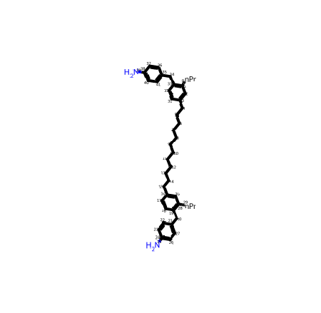 CCCc1cc(CCCCCCCCCCCCc2ccc(Cc3ccc(N)cc3)c(CCC)c2)ccc1Cc1ccc(N)cc1